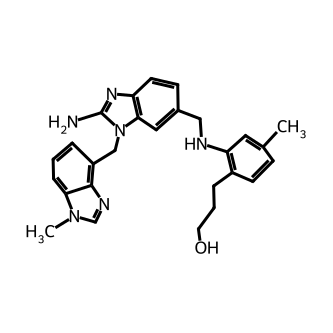 Cc1ccc(CCCO)c(NCc2ccc3nc(N)n(Cc4cccc5c4ncn5C)c3c2)c1